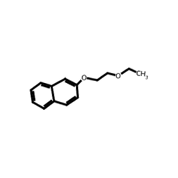 CCOCCOc1[c]c2ccccc2cc1